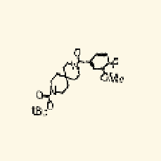 COc1cc(C(=O)N2CCC3(CCN(C(=O)OC(C)(C)C)CC3)CC2)ccc1F